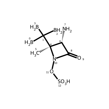 BC(B)(B)[C@@]1(C)[C@H](N)C(=O)N1OS(=O)(=O)O